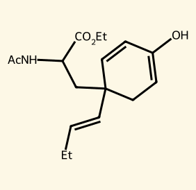 CCC=CC1(CC(NC(C)=O)C(=O)OCC)C=CC(O)=CC1